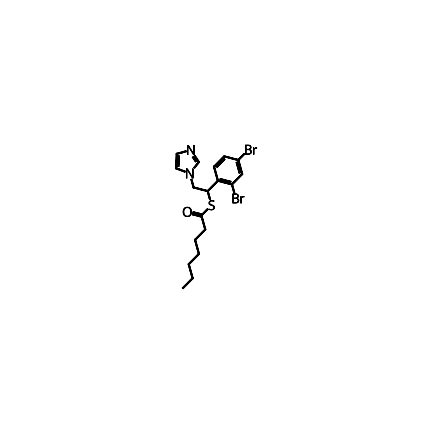 CCCCCCC(=O)SC(Cn1ccnc1)c1ccc(Br)cc1Br